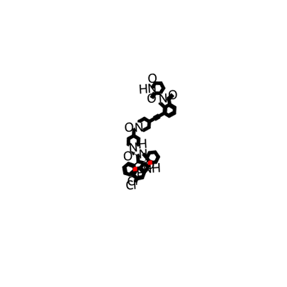 O=C1CCC(N2Cc3c(C#CC4CCN(C(=O)C5CCN(C(=O)[C@@H]6NC7(CCCCC7)[C@@]7(C(=O)Nc8cc(Cl)ccc87)[C@H]6c6cccc(Cl)c6F)CC5)CC4)cccc3C2=O)C(=O)N1